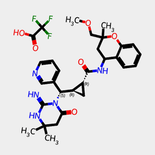 COCC1(C)CC(NC(=O)[C@@H]2C[C@H]2[C@@H](c2cccnc2)N2C(=N)NC(C)(C)CC2=O)c2ccccc2O1.O=C(O)C(F)(F)F